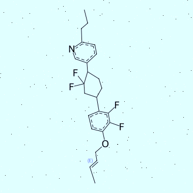 C/C=C/COc1ccc(C2CCC(c3ccc(CCC)nc3)C(F)(F)C2)c(F)c1F